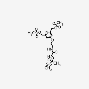 CSSC(C)(C)CCC(=O)NCCOc1cc(COS(C)(=O)=O)nc(COS(C)(=O)=O)c1